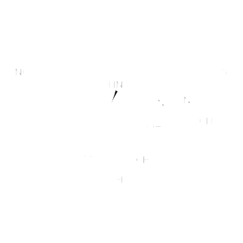 Cn1nc(N[C@@H]2c3cc(C#N)ccc3OC(C)(C)[C@H]2O)ccc1=O